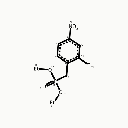 CCOP(=O)(Cc1ccc([N+](=O)[O-])cc1F)OCC